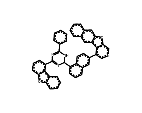 c1ccc(C2=NC(c3cccc4oc5ccccc5c34)=NC(c3cccc4cc(-c5cncc6oc7cc8ccccc8cc7c56)ccc34)N2)cc1